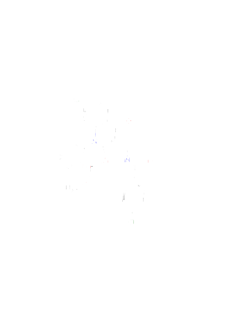 COC(=O)Oc1c(CNC(=O)c2ccc(Cl)cc2)c(=O)c2ccc(Cl)cc2n1-c1ccccc1